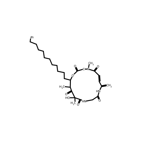 C=C1/C=C/C(=O)N(C)CC(=O)OC(CCCCCCCCCCCC(C)C)C(C)C(=O)C(C)(O)C(=O)NCC(=O)N1